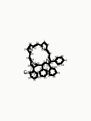 C1=CC2=NC1=CC1=NC(=C(c3ccccc3)C3=NC(=CC4=NC(=C2)C=C4)C=C3c2ccccc2)C(c2ccccc2)=C1c1ccccc1.[GaH3]